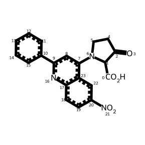 O=C(O)C1C(=O)CCN1c1cc(-c2ccccc2)nc2ccc([N+](=O)[O-])cc12